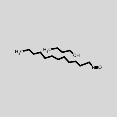 CCCCCCCCCCCCN=O.CCCCO